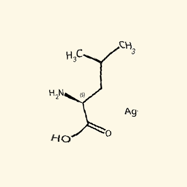 CC(C)C[C@H](N)C(=O)O.[Ag]